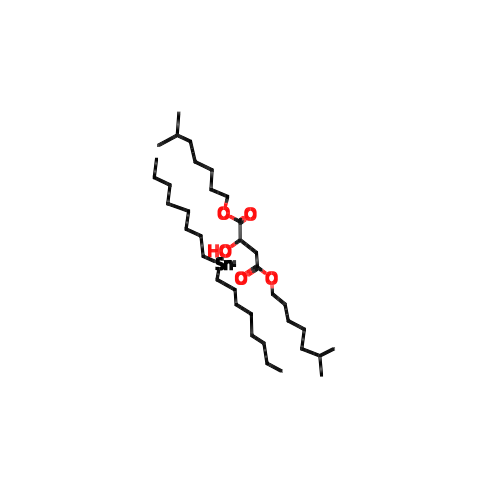 CC(C)CCCCCOC(=O)CC(O)C(=O)OCCCCCC(C)C.CCCCCCC[CH2][Sn][CH2]CCCCCCC